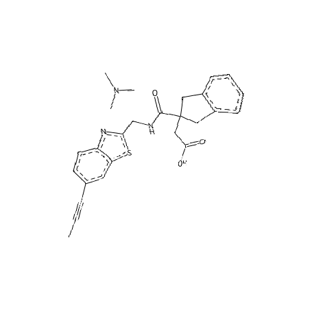 CC#Cc1ccc2nc(CNC(=O)C3(CC(=O)O)Cc4ccccc4C3)sc2c1.CN(C)C